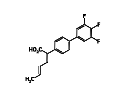 CC=CC=C(C(=O)O)c1ccc(-c2cc(F)c(F)c(F)c2)cc1